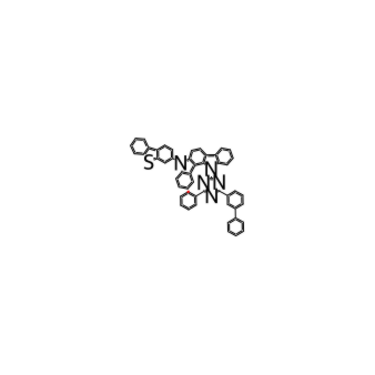 c1ccc(-c2cccc(-c3nc(-c4ccccc4)nc(-n4c5ccccc5c5ccc6c(c7ccccc7n6-c6ccc7c(c6)sc6ccccc67)c54)n3)c2)cc1